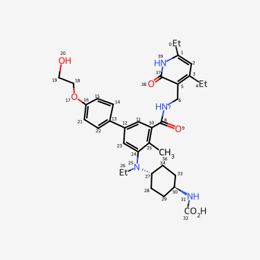 CCc1cc(CC)c(CNC(=O)c2cc(-c3ccc(OCCO)cc3)cc(N(CC)[C@H]3CC[C@H](NC(=O)O)CC3)c2C)c(=O)[nH]1